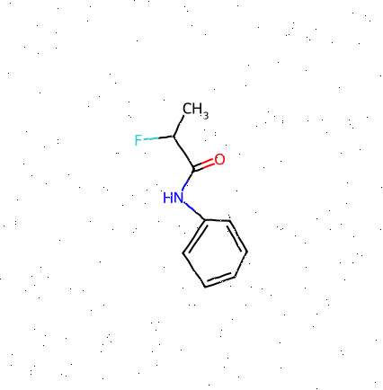 CC(F)C(=O)Nc1[c]cccc1